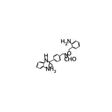 Nc1ccccc1CON(C=O)Cc1ccc(C(=O)Nc2ccccc2N)cc1